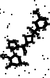 CC1C(F)=CC(F)=CC1[C@@H]1CC=NN1C(=O)N1CC(C(F)(F)c2ccnc(C#N)c2)C1